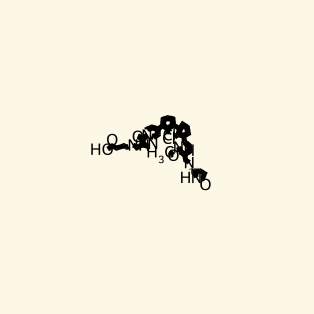 COc1nc(-c2cccc(-c3cccc(-c4ccn5c(=O)c(CNCCCC(=O)O)cnc5c4)c3Cl)c2Cl)ccc1CNC[C@@H]1CCC(=O)N1